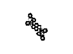 C=C(C1=c2/c(=C\C)ccc3c(N(c4ccccc4)c4cccc5c4oc4ccccc45)ccc(c23)CC1)N(c1cccc2c1oc1ccccc12)C1C=CC=CC1C